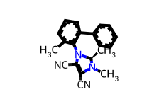 Cc1cccc(-c2ccccc2)c1N1C(C#N)=C(C#N)N(C)[C@@H]1C